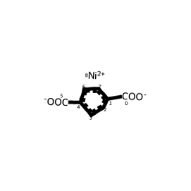 O=C([O-])c1ccc(C(=O)[O-])cc1.[Ni+2]